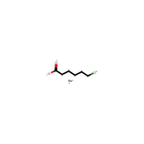 O=C([O-])CCCCCCl.[Na+]